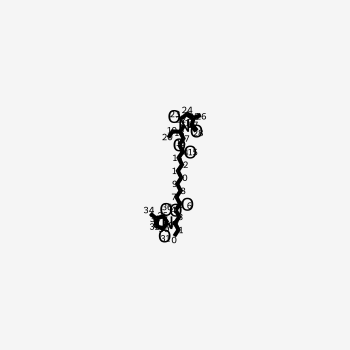 CCC(COC(=O)CCCCCCCC(=O)OCC(CC)N1C(=O)C=C(C)C1=O)N1C(=O)C=C(C)C1=O